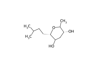 CC(C)CC[C@@H]1OC(C)[C@H](O)CC1O